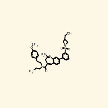 CCCN(CCc1ccc(OC)cc1)C(=O)C1=Cc2ccc(-c3cccc(S(=O)(=O)N4CC(CO)C4)c3)cc2N=C(N)C1